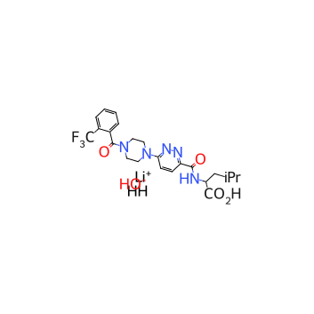 CC(C)CC(NC(=O)c1ccc(N2CCN(C(=O)c3ccccc3C(F)(F)F)CC2)nn1)C(=O)O.[HH].[Li+].[OH-]